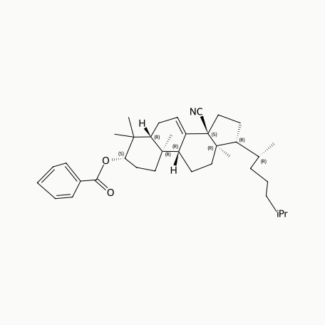 CC(C)CCC[C@@H](C)[C@H]1CC[C@@]2(C#N)C3=CC[C@H]4C(C)(C)[C@@H](OC(=O)c5ccccc5)CC[C@]4(C)[C@H]3CC[C@]12C